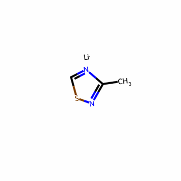 Cc1ncsn1.[Li]